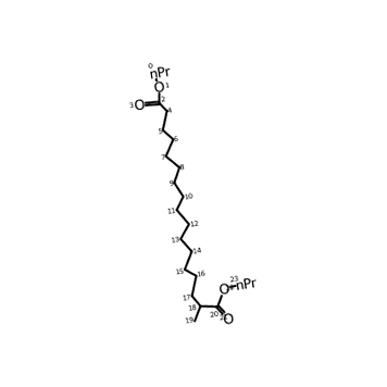 CCCOC(=O)CCCCCCCCCCCCCCC(C)C(=O)OCCC